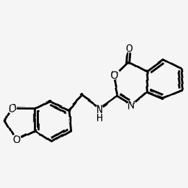 O=c1oc(NCc2ccc3c(c2)OCO3)nc2ccccc12